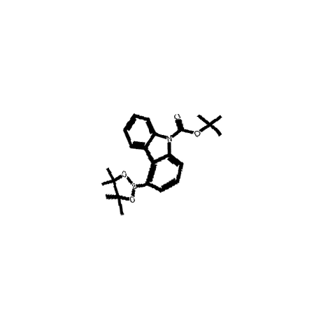 CC(C)(C)OC(=O)n1c2ccccc2c2c(B3OC(C)(C)C(C)(C)O3)cccc21